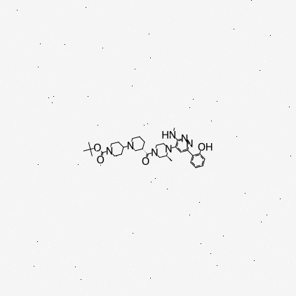 CNc1nnc(-c2ccccc2O)cc1N1CCN(C(=O)[C@H]2CCCN(C3CCN(C(=O)OC(C)(C)C)CC3)C2)C[C@@H]1C